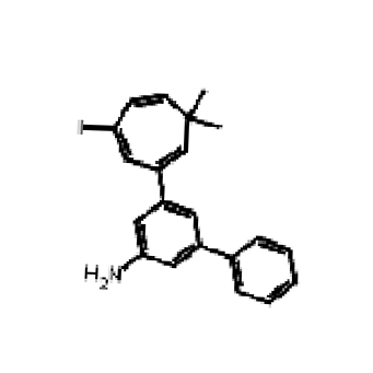 CC1(C)C=CC(I)=CC(c2cc(N)cc(-c3ccccc3)c2)=C1